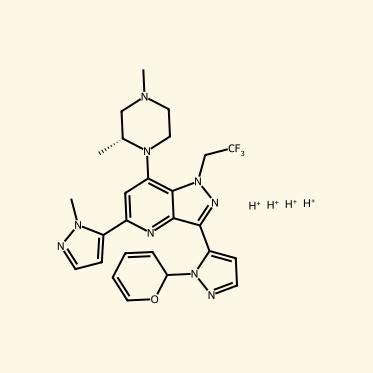 C[C@@H]1CN(C)CCN1c1cc(-c2ccnn2C)nc2c(-c3ccnn3C3C=CC=CO3)nn(CC(F)(F)F)c12.[H+].[H+].[H+].[H+]